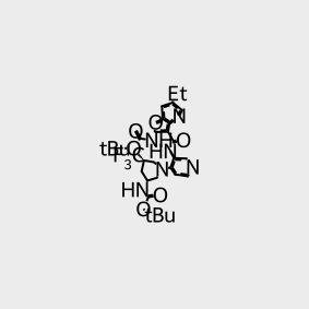 CCc1cnc2c(C(=O)Nc3cnccc3N3C[C@@H](NC(=O)OC(C)(C)C)C[C@@H](C(F)(F)F)C3)c(NC(=O)OC(C)(C)C)oc2c1